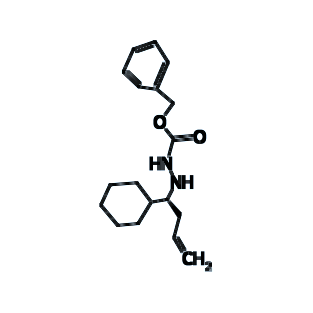 C=CC[C@H](NNC(=O)OCc1ccccc1)C1CCCCC1